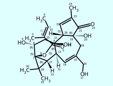 C/C=C(\C)C(=O)O[C@@]12[C@H](O)C[C@@]3(O)[C@@H](C=C(CO)C[C@]4(O)C(=O)C(C)=C[C@@H]34)[C@@H]1C2(C)C